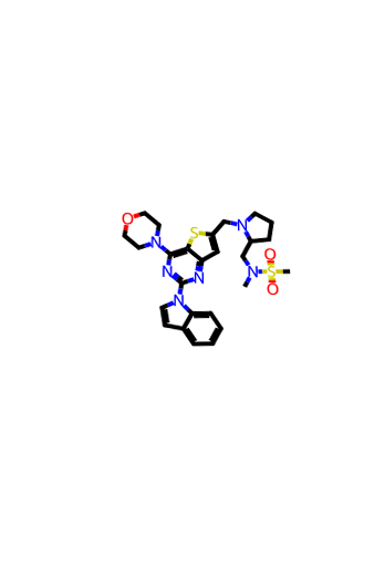 CN(CC1CCCN1Cc1cc2nc(-n3ccc4ccccc43)nc(N3CCOCC3)c2s1)S(C)(=O)=O